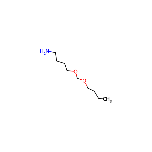 CCCCOCOCCCCN